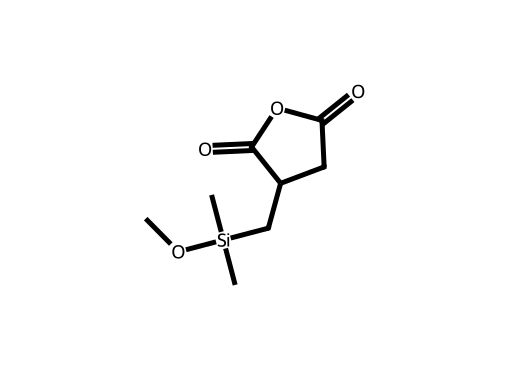 CO[Si](C)(C)CC1CC(=O)OC1=O